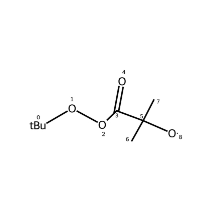 CC(C)(C)OOC(=O)C(C)(C)[O]